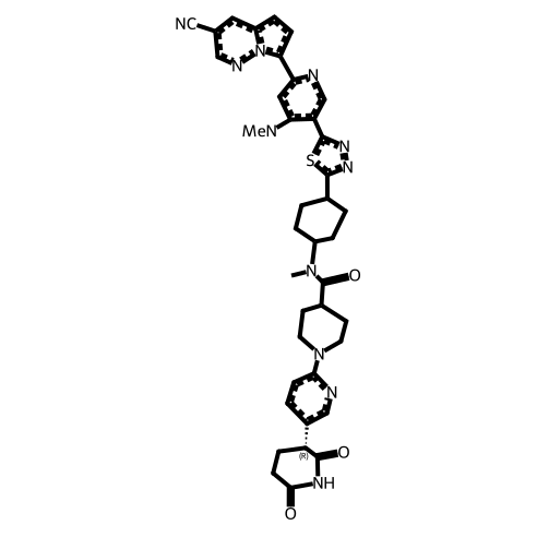 CNc1cc(-c2ccc3cc(C#N)cnn23)ncc1-c1nnc(C2CCC(N(C)C(=O)C3CCN(c4ccc([C@H]5CCC(=O)NC5=O)cn4)CC3)CC2)s1